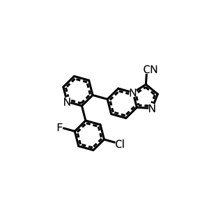 N#Cc1cnc2ccc(-c3cccnc3-c3cc(Cl)ccc3F)cn12